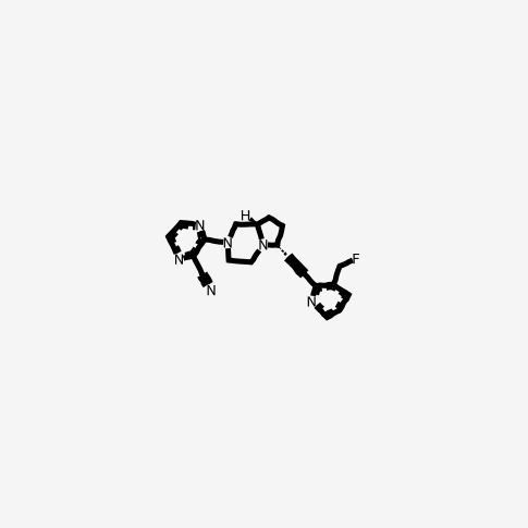 N#Cc1nccnc1N1CCN2[C@@H](CC[C@@H]2C#Cc2ncccc2CF)C1